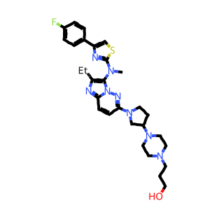 CCc1nc2ccc(N3CCC(N4CCN(CCCO)CC4)C3)nn2c1N(C)c1nc(-c2ccc(F)cc2)cs1